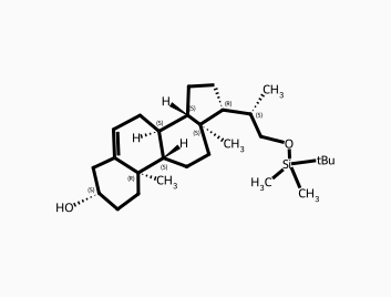 C[C@H](CO[Si](C)(C)C(C)(C)C)[C@H]1CC[C@H]2[C@@H]3CC=C4C[C@@H](O)CC[C@]4(C)[C@H]3CC[C@]12C